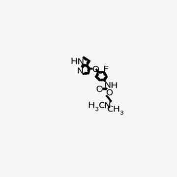 CN(C)CCOC(=O)Nc1ccc(Oc2ccnc3[nH]ccc23)c(F)c1